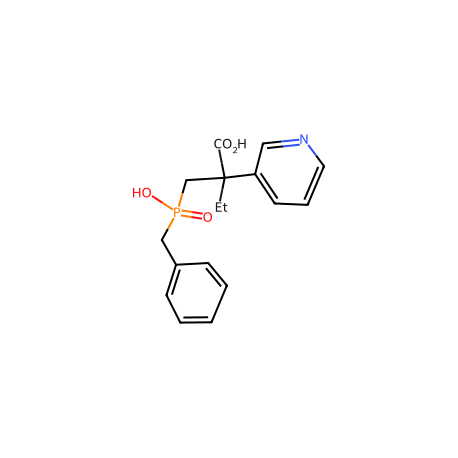 CCC(CP(=O)(O)Cc1ccccc1)(C(=O)O)c1cccnc1